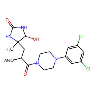 COC(CC1(C)NC(=O)NC1O)C(=O)N1CCN(c2cc(Cl)cc(Cl)c2)CC1